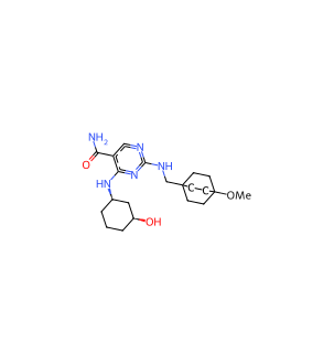 COC12CCC(CNc3ncc(C(N)=O)c(N[C@@H]4CCC[C@H](O)C4)n3)(CC1)CC2